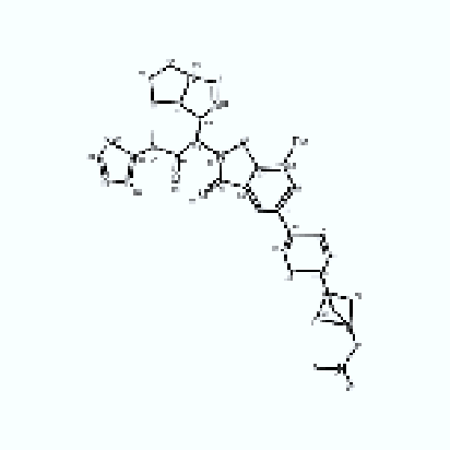 CN(C)CC12CC(c3ccc(-c4cc(F)c5c(c4)C(=O)N(C(C(=O)Nc4nccs4)C4N=CN6CCCC46)C5)cc3)(C1)C2